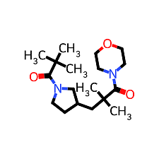 CC(C)(C)C(=O)N1CCC(CC(C)(C)C(=O)N2CCOCC2)C1